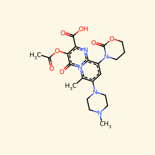 CC(=O)Oc1c(C(=O)O)nc2c(N3CCCOC3=O)cc(N3CCN(C)CC3)c(C)n2c1=O